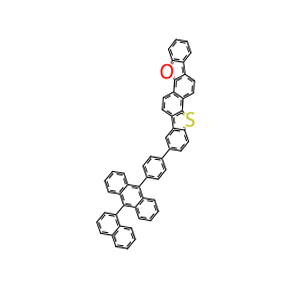 c1ccc2c(-c3c4ccccc4c(-c4ccc(-c5ccc6sc7c(ccc8c7ccc7c9ccccc9oc78)c6c5)cc4)c4ccccc34)cccc2c1